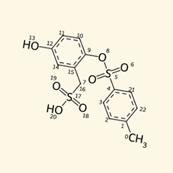 Cc1ccc(S(=O)(=O)Oc2ccc(O)cc2CS(=O)(=O)O)cc1